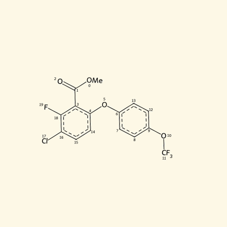 COC(=O)c1c(Oc2ccc(OC(F)(F)F)cc2)ccc(Cl)c1F